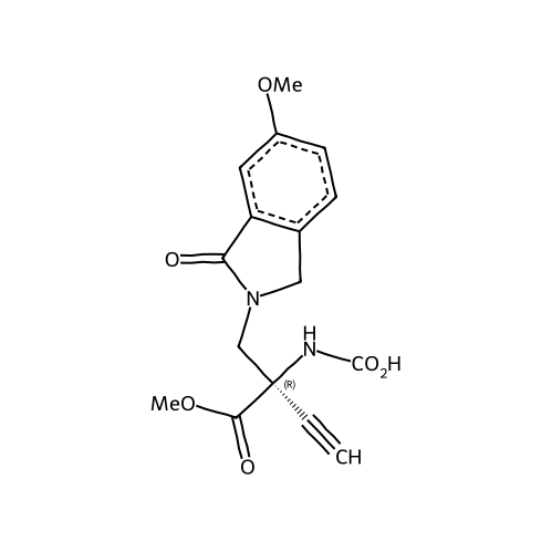 C#C[C@](CN1Cc2ccc(OC)cc2C1=O)(NC(=O)O)C(=O)OC